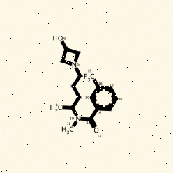 CC(CCCN1CC(O)C1)N(C)C(=O)c1cccc(C(F)(F)F)c1